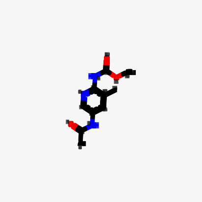 CC(=O)C(=O)Nc1cnc(NC(=O)OC(C)(C)C)c(C)c1